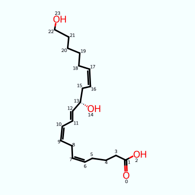 O=C(O)CCC/C=C\C/C=C\C=C\[C@@H](O)C/C=C\CCCCCO